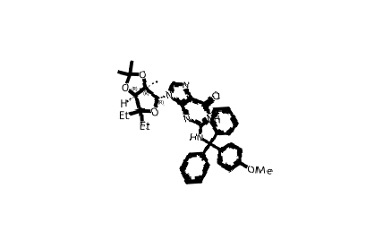 CCC1(CC)O[C@@H](n2cnc3c(=O)[nH]c(NC(c4ccccc4)(c4ccccc4)c4ccc(OC)cc4)nc32)[C@]2(C)OC(C)(C)O[C@H]12